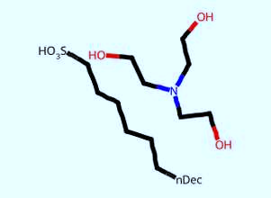 CCCCCCCCCCCCCCCCS(=O)(=O)O.OCCN(CCO)CCO